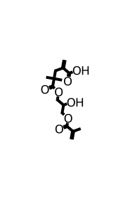 C=C(C)C(=O)OCC(O)COC(=O)C(C)(C)CC(=C)C(=O)O